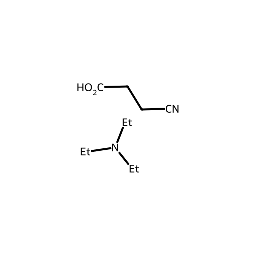 CCN(CC)CC.N#CCCC(=O)O